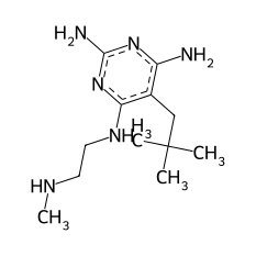 CNCCNc1nc(N)nc(N)c1CC(C)(C)C